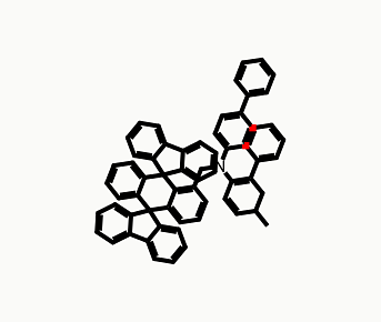 CC1C=CC(N(Cc2cccc3c2C2(c4ccccc4-c4ccccc42)c2ccccc2C32c3ccccc3-c3ccccc32)c2ccc(-c3ccccc3)cc2)=C(c2ccccc2)C1